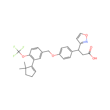 CC1(C)CCC=C1c1cc(COc2ccc(C(CC(=O)O)c3ccon3)cc2)ccc1OC(F)(F)F